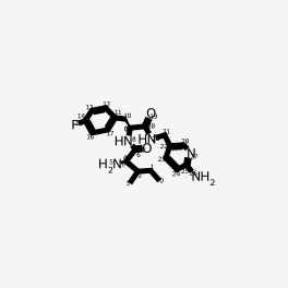 CCC(C)[C@@H](N)C(=O)N[C@@H](Cc1ccc(F)cc1)C(=O)NCc1ccc(N)nc1